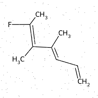 C=C/C=C(C)/C(C)=C(\C)F